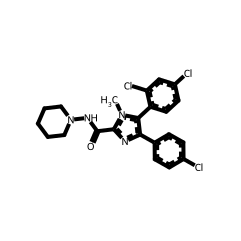 Cn1c(C(=O)NN2CCCCC2)nc(-c2ccc(Cl)cc2)c1-c1ccc(Cl)cc1Cl